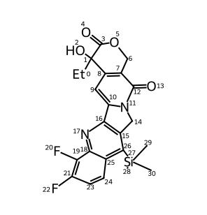 CCC1(O)C(=O)OCc2c1cc1n(c2=O)Cc2c-1nc1c(F)c(F)ccc1c2[Si](C)(C)C